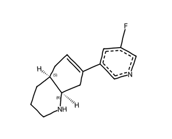 Fc1cncc(C2=CC[C@@H]3CCCN[C@@H]3C2)c1